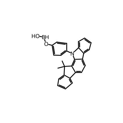 CC1(C)c2ccccc2-c2ccc3c4ccccc4n(-c4ccc(OBO)cc4)c3c21